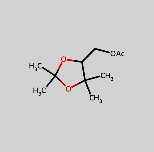 CC(=O)OCC1OC(C)(C)OC1(C)C